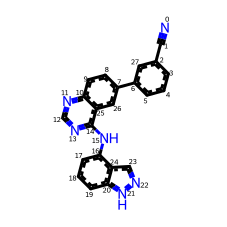 N#Cc1cccc(-c2ccc3ncnc(Nc4cccc5[nH]ncc45)c3c2)c1